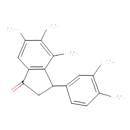 COc1ccc(C2CC(=O)c3cc(OC)c(OC)c(OC)c32)cc1OC